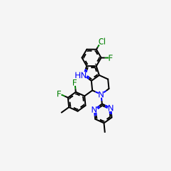 Cc1cnc(N2CCc3c([nH]c4ccc(Cl)c(F)c34)C2c2ccc(C)c(F)c2F)nc1